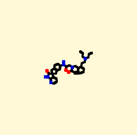 C=CCN(CC=C)CCc1ccccc1CN(CC(=O)Nc1ccc2c(c1)CC1(C2)C(=O)Nc2ncccc21)C(=O)C(C)(C)C